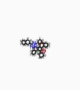 c1ccc(-c2nc(-c3ccc4ccccc4c3)nc(-c3ccccc3-c3cc4ccc5ccccc5c4c4oc5ccccc5c34)n2)cc1